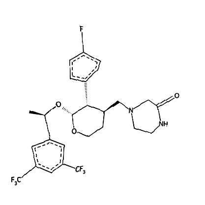 C[C@@H](O[C@H]1OCC[C@H](CN2CCNC(=O)C2)[C@H]1c1ccc(F)cc1)c1cc(C(F)(F)F)cc(C(F)(F)F)c1